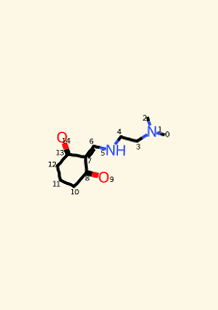 CN(C)CCNC=C1C(=O)CCCC1=O